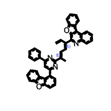 C=C/C(=C\C=C(/C)c1nc(-c2ccccc2)cc(-c2cccc3oc4ccccc4c23)n1)c1nc2ccccc2c2c1oc1ccccc12